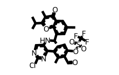 Cc1cc(C(C)Nc2cnc(Cl)nc2-c2ccc(OS(=O)(=O)C(F)(F)F)c(C=O)c2C)c2oc(C(C)C)c(C)c(=O)c2c1